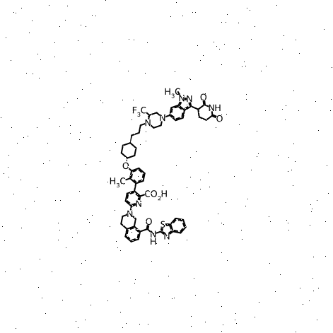 Cc1c(O[C@H]2CC[C@H](CCCN3CCN(c4ccc5c(C6CCC(=O)NC6=O)nn(C)c5c4)CC3C(F)(F)F)CC2)cccc1-c1ccc(N2CCc3cccc(C(=O)Nc4nc5ccccc5s4)c3C2)nc1C(=O)O